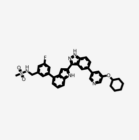 CS(=O)(=O)NCc1cc(F)cc(-c2cccc3[nH]c(-c4n[nH]c5ccc(-c6cncc(OC7CCCCC7)c6)cc45)cc23)c1